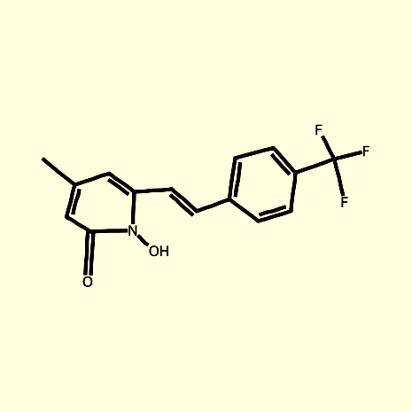 Cc1cc(/C=C/c2ccc(C(F)(F)F)cc2)n(O)c(=O)c1